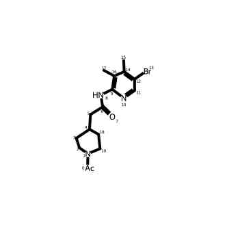 CC(=O)N1CCC(CC(=O)Nc2ncc(Br)c(C)c2C)CC1